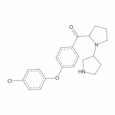 O=C(c1ccc(Oc2ccc(Cl)cc2)cc1)C1CCCN1C1CCNC1